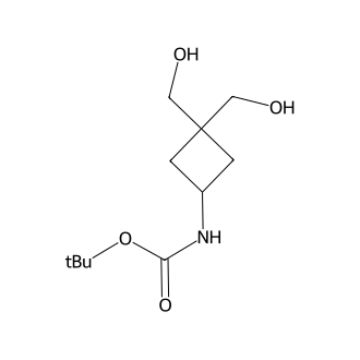 CC(C)(C)OC(=O)NC1CC(CO)(CO)C1